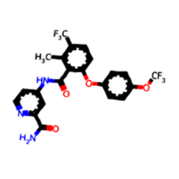 Cc1c(C(F)(F)F)ccc(Oc2ccc(OC(F)(F)F)cc2)c1C(=O)Nc1ccnc(C(N)=O)c1